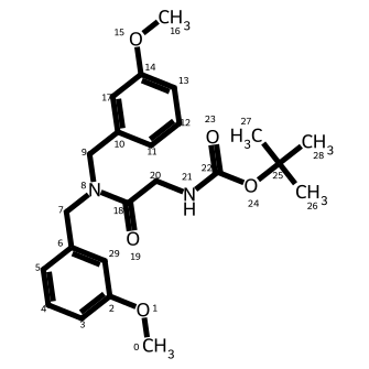 COc1cccc(CN(Cc2cccc(OC)c2)C(=O)CNC(=O)OC(C)(C)C)c1